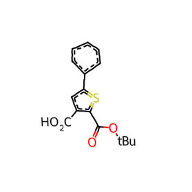 CC(C)(C)OC(=O)c1sc(-c2ccccc2)cc1C(=O)O